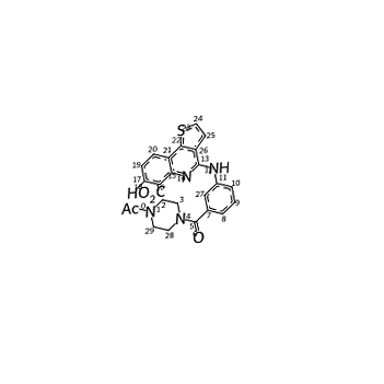 CC(=O)N1CCN(C(=O)c2cccc(Nc3nc4cc(C(=O)O)ccc4c4sccc34)c2)CC1